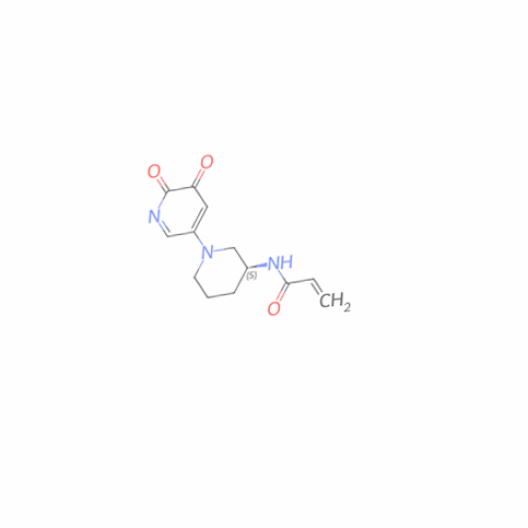 C=CC(=O)N[C@H]1CCCN(C2=CC(=O)C(=O)N=C2)C1